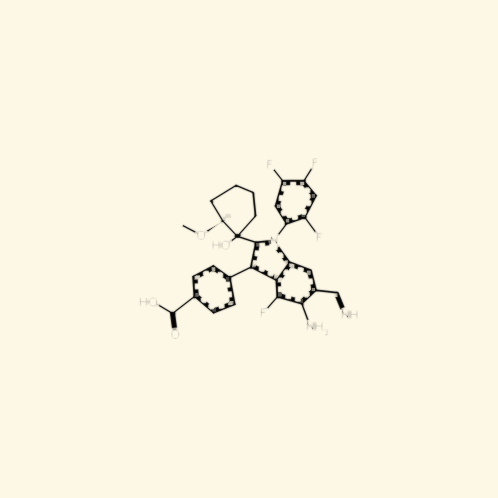 CO[C@H]1CCCCC1(O)c1c(-c2ccc(C(=O)O)cc2)c2c(F)c(N)c(C=N)cc2n1-c1cc(F)c(F)cc1F